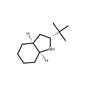 CC(C)(C)[C@H]1C[C@@H]2CCCC[C@@H]2N1